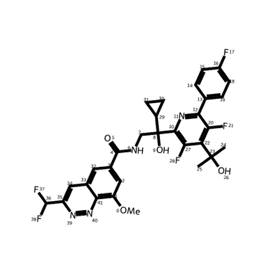 COc1cc(C(=O)NCC(O)(c2nc(-c3ccc(F)cc3)c(F)c(C(C)(C)O)c2F)C2CC2)cc2cc(C(F)F)nnc12